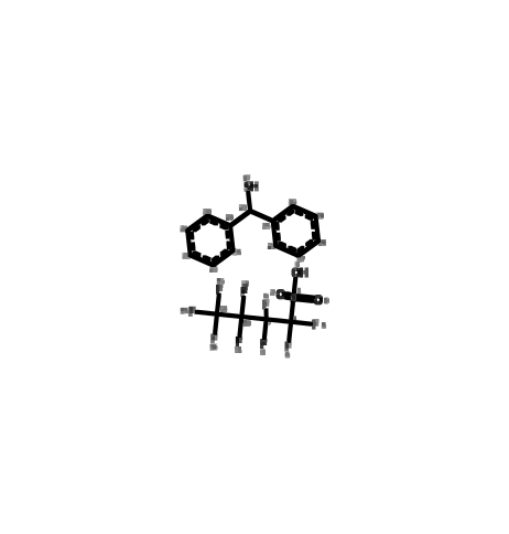 O=S(=O)(O)C(F)(F)C(F)(F)C(F)(F)C(F)(F)F.SC(c1ccccc1)c1ccccc1